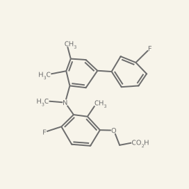 Cc1cc(-c2cccc(F)c2)cc(N(C)c2c(F)ccc(OCC(=O)O)c2C)c1C